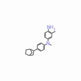 Cc1cc(N(C)c2ccc(C3CC4CCC3C4)cc2)ccc1N